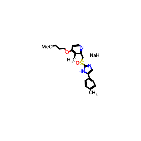 COCCCOc1ccnc(C[S+]([O-])c2ncc(-c3ccc(C)cc3)[nH]2)c1C.[NaH]